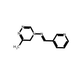 CC1=NN=CN(N=Cc2cccnc2)C1